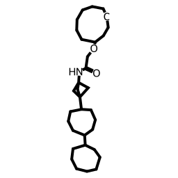 O=C(COC1CCCCCCCCC1)NC12CC(C3CCCC(C4CCCCCCC4)CCC3)(C1)C2